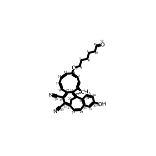 Cc1ccc(OCCCCCC=O)ccccc2c1=C1CC(=C(C#N)C=2C#N)C=Cc2cc(O)ccc21